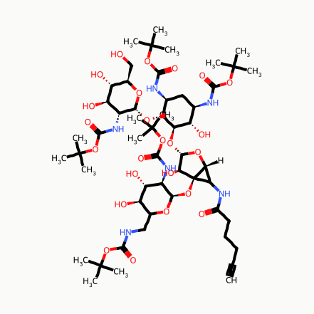 C#CCCCC(=O)NC1[C@H]2O[C@@H](O[C@@H]3[C@@H](O)[C@H](NC(=O)OC(C)(C)C)C[C@H](NC(=O)OC(C)(C)C)[C@H]3O[C@H]3O[C@H](CO)[C@@H](O)[C@H](O)[C@H]3NC(=O)OC(C)(C)C)[C@H](O)[C@@]12O[C@H]1OC(CNC(=O)OC(C)(C)C)[C@@H](O)[C@H](O)[C@H]1NC(=O)OC(C)(C)C